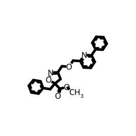 COC(=O)C1(Cc2ccccc2)CC(COCc2cccc(-c3ccccc3)n2)=NO1